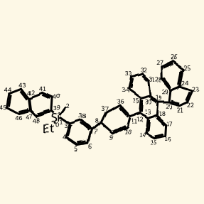 CC[Si](C)(c1cccc(C2C=CC(c3c4ccccc4c(-c4cccc5ccccc45)c4ccccc34)=CC2)c1)c1ccc2ccccc2c1